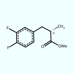 COC(=O)[C@@H](C)Cc1ccc(F)c(F)c1